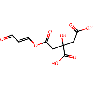 O=CC=COC(=O)CC(O)(CC(=O)O)C(=O)O